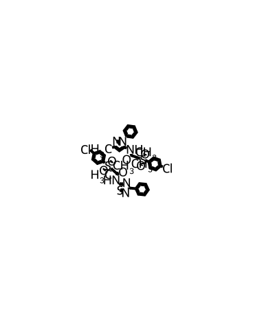 CC(C)(C(=O)Nc1nc(-c2ccccc2)ns1)S(=O)(=O)c1ccc(Cl)cc1.Cc1cc(NC(=O)C(C)(C)S(=O)(=O)c2ccc(Cl)cc2)n(-c2ccccc2)n1